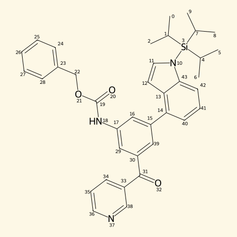 CC(C)[Si](C(C)C)(C(C)C)n1ccc2c(-c3cc(NC(=O)OCc4ccccc4)cc(C(=O)c4cccnc4)c3)cccc21